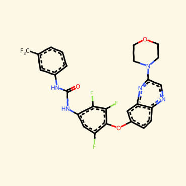 O=C(Nc1cccc(C(F)(F)F)c1)Nc1cc(F)c(Oc2ccc3ncc(N4CCOCC4)nc3c2)c(F)c1F